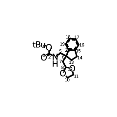 CC(C)(C)OC(=O)NCC1(CC2OCCO2)CCc2ccccc21